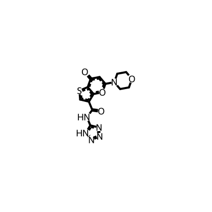 O=C(Nc1nnn[nH]1)c1csc2c(=O)cc(N3CCOCC3)oc12